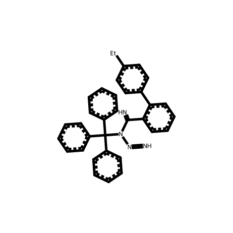 CCc1ccc(-c2ccccc2C(=N)N(N=N)C(c2ccccc2)(c2ccccc2)c2ccccc2)cc1